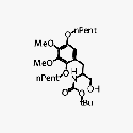 CCCCCOc1cc(CC(CO)NC(=O)OC(C)(C)C)c(OCCCCC)c(OC)c1OC